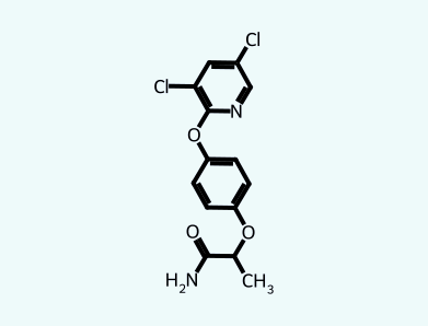 CC(Oc1ccc(Oc2ncc(Cl)cc2Cl)cc1)C(N)=O